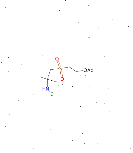 CC(=O)OCCS(=O)(=O)CC(C)(C)NCl